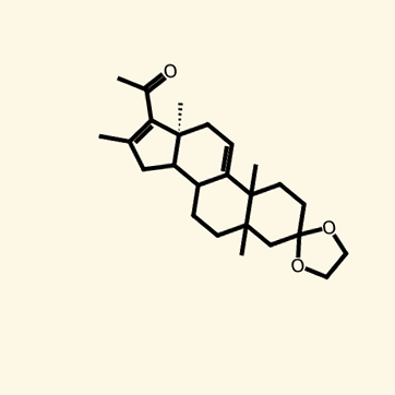 CC(=O)C1=C(C)CC2C3CCC4(C)CC5(CCC4(C)C3=CC[C@]12C)OCCO5